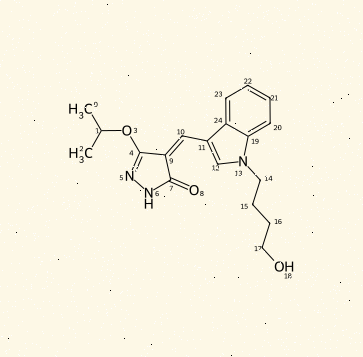 CC(C)OC1=NNC(=O)C1=Cc1cn(CCCCO)c2ccccc12